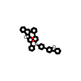 c1ccc(-c2ccc(N(c3ccc(-c4ccc5c(c4)oc4ccccc45)cc3)c3ccccc3-c3ccc4c(c3)oc3c5ccccc5ccc43)cc2)cc1